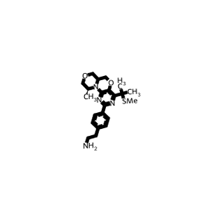 CSC(C)(C)c1nc(-c2ccc(CCN)cc2)nc2c1OCC1COC[C@@H](C)N21